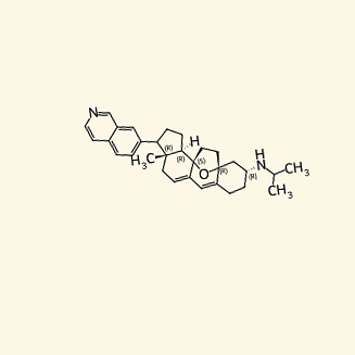 CC(C)N[C@@H]1CCC2=CC3=CC[C@]4(C)C(c5ccc6ccncc6c5)CC[C@H]4[C@@]34CC[C@]2(C1)O4